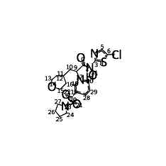 O=C(Nc1ncc(Cl)s1)C(CC1CCOCC1)n1cc(S(=O)(=O)N2CCCC2)ccc1=O